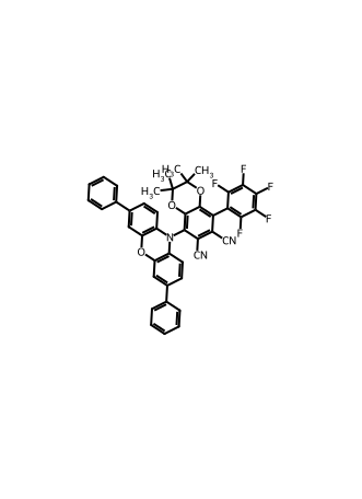 CC1(C)Oc2c(c(N3c4ccc(-c5ccccc5)cc4Oc4cc(-c5ccccc5)ccc43)c(C#N)c(C#N)c2-c2c(F)c(F)c(F)c(F)c2F)OC1(C)C